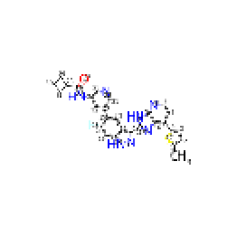 Cc1ccc(-c2ccnc3[nH]c(-c4n[nH]c5cc(F)c(-c6cncc(NC(=O)C7CCC7)c6)cc45)nc23)s1